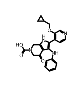 O=C1CN(C(=O)O)Cc2[nH]c(-c3ccncc3OCC3CC3)c(Nc3ccccc3)c21